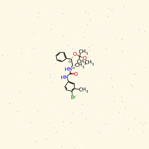 COC(C)(C)O[C@@H](c1ccccc1)[C@H](C)NC(=O)Nc1ccc(Br)c(C)c1